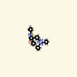 c1ccc(-c2nc(-c3ccccc3)nc(-c3cccc(-c4c5sc(-c6ccccc6)nc5cc5oc6ccccc6c45)c3)n2)cc1